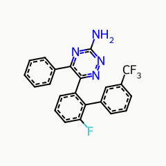 Nc1nnc(-c2cccc(F)c2-c2cccc(C(F)(F)F)c2)c(-c2ccccc2)n1